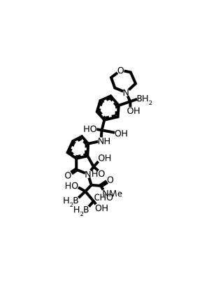 BC(O)(c1cccc(C(O)(O)Nc2cccc3c2C(O)(O)N(C(C(=O)NC)C(B)(O)C(B)(O)C=O)C3=O)c1)N1CCOCC1